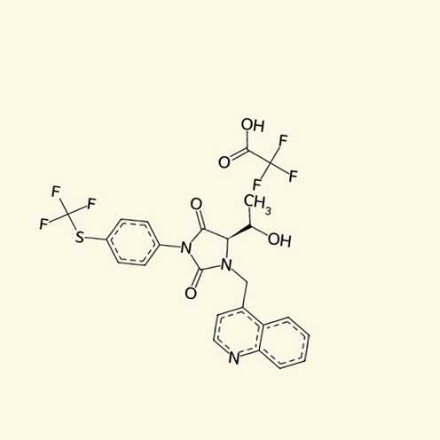 CC(O)[C@@H]1C(=O)N(c2ccc(SC(F)(F)F)cc2)C(=O)N1Cc1ccnc2ccccc12.O=C(O)C(F)(F)F